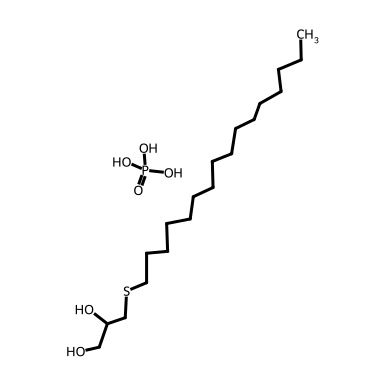 CCCCCCCCCCCCCCCCSCC(O)CO.O=P(O)(O)O